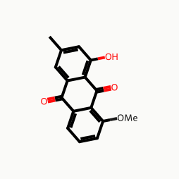 COc1cccc2c1C(=O)c1c(O)cc(C)cc1C2=O